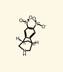 O=[N+]([O-])c1cc2c(cc1[N+](=O)[O-])[C@H]1CNC[C@@H]2C1